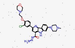 CN1CCN(c2ccc3c(c2)[nH]c2c(C(=O)N=NN)cc(-c4ccc(OCCN5CCOCC5)c(Cl)c4)nc23)CC1